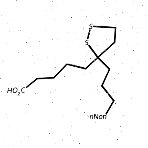 CCCCCCCCCCCCC1(CCCCC(=O)O)CCSS1